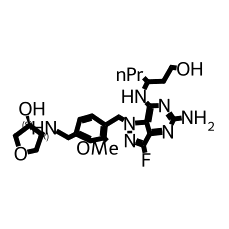 CCCC(CCO)Nc1nc(N)nc2c(F)nn(Cc3ccc(CN[C@@H]4COC[C@H]4O)cc3OC)c12